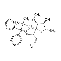 B[C@@H]1O[C@@](CO[Si](c2ccccc2)(c2ccccc2)C(C)(C)C)(C(F)C=C)[C@@H](OC)[C@H]1O